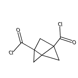 O=C(Cl)C12CC3(C(=O)Cl)CC13C2